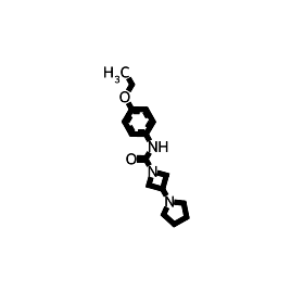 CCOc1ccc(NC(=O)N2CC(N3CCCC3)C2)cc1